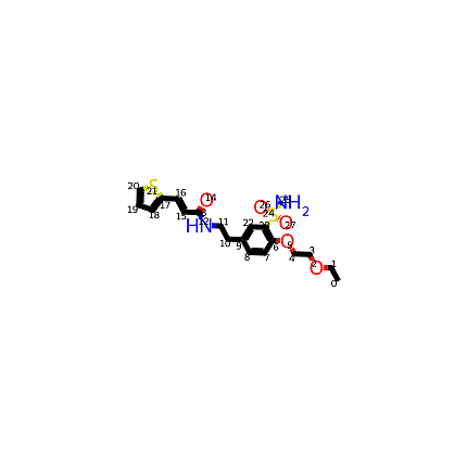 CCOCCOc1ccc(CCNC(=O)C=Cc2cccs2)cc1S(N)(=O)=O